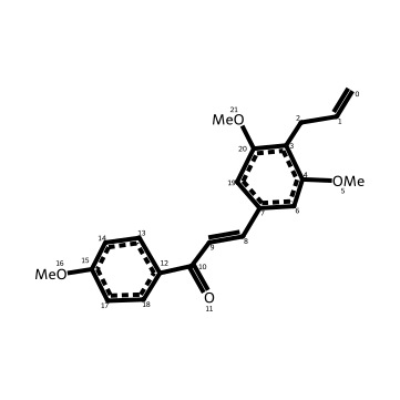 C=CCc1c(OC)cc(C=CC(=O)c2ccc(OC)cc2)cc1OC